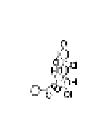 C[C@]12C=CC(=O)C=C1CC[C@H]1[C@@H]3C[C@@H](OCC(=O)c4ccccc4)[C@](O)(C(=O)CO)[C@@]3(C)C[C@H](Cl)[C@@]12Cl